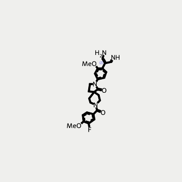 COc1ccc(C(=O)N2CCC3(CC2)CCN(c2ccc(/C(C=N)=C/N)c(OC)c2)C3=O)cc1F